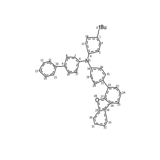 CC(C)(C)c1ccc(N(c2ccc(-c3ccccc3)cc2)c2ccc(-c3cccc4c3oc3ccccc34)cc2)cc1